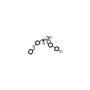 CC(=O)C1(NC(=O)Cc2ccc(OCc3ccccc3)cc2)Cc2ccc(-c3ccc(Cl)cc3)cc2C1